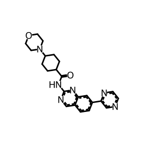 O=C(Nc1ncc2ccc(-c3cnccn3)cc2n1)C1CCC(N2CCOCC2)CC1